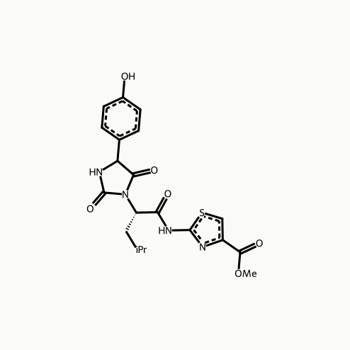 COC(=O)c1csc(NC(=O)[C@H](CC(C)C)N2C(=O)NC(c3ccc(O)cc3)C2=O)n1